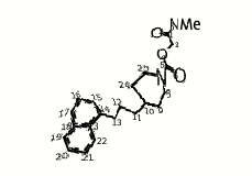 CNC(=O)COC(=O)N1CCC(CCCc2cccc3ccccc23)CC1